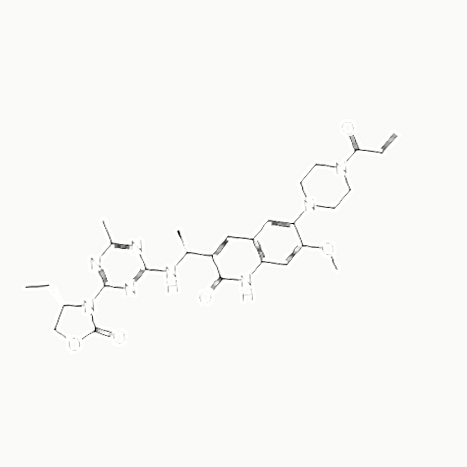 C=CC(=O)N1CCN(c2cc3cc([C@H](C)Nc4nc(C)nc(N5C(=O)OC[C@@H]5CC)n4)c(=O)[nH]c3cc2OC)CC1